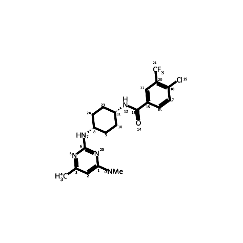 CNc1cc(C)nc(N[C@H]2CC[C@@H](NC(=O)c3ccc(Cl)c(C(F)(F)F)c3)CC2)n1